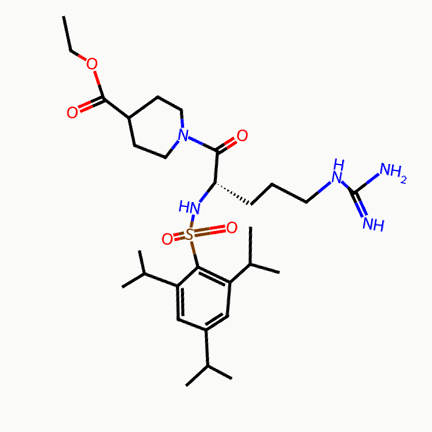 CCOC(=O)C1CCN(C(=O)[C@H](CCCNC(=N)N)NS(=O)(=O)c2c(C(C)C)cc(C(C)C)cc2C(C)C)CC1